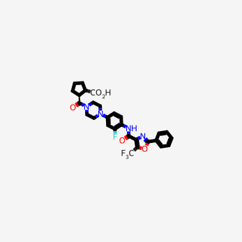 O=C(Nc1ccc(N2CCN(C(=O)[C@H]3CCCC3C(=O)O)CC2)cc1F)c1nc(-c2ccccc2)oc1C(F)(F)F